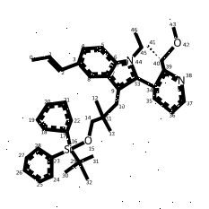 C/C=C/c1ccc2c(c1)c(CC(C)(C)CO[Si](c1ccccc1)(c1ccccc1)C(C)(C)C)c(-c1cccnc1[C@H](C)OC)n2CC